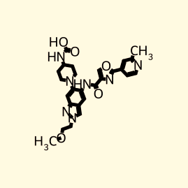 COCCn1cc2cc(NC(=O)c3coc(-c4ccnc(C)c4)n3)c(N3CCC(NC(=O)O)CC3)cc2n1